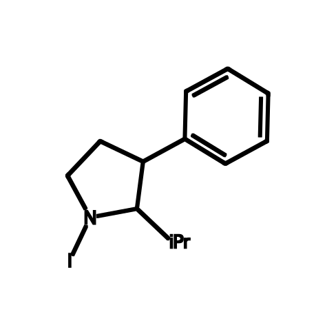 CC(C)C1C(c2ccccc2)CCN1I